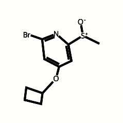 C[S+]([O-])c1cc(OC2CCC2)cc(Br)n1